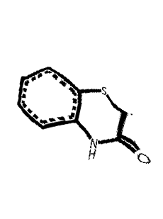 O=C1[CH]Sc2ccccc2N1